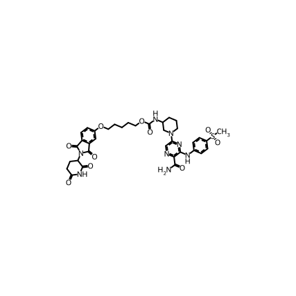 CS(=O)(=O)c1ccc(Nc2nc(N3CCCC(NC(=O)OCCCCCOc4ccc5c(c4)C(=O)N(C4CCC(=O)NC4=O)C5=O)C3)cnc2C(N)=O)cc1